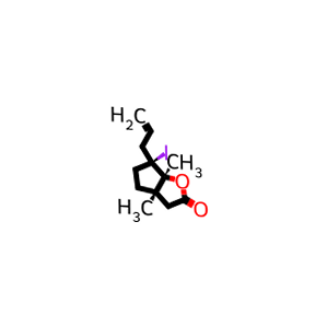 C=CC[C@@]1(I)CC[C@@]2(C)CC(=O)O[C@@]21C